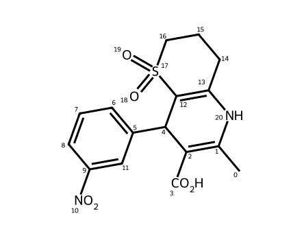 CC1=C(C(=O)O)C(c2cccc([N+](=O)[O-])c2)C2=C(CCCS2(=O)=O)N1